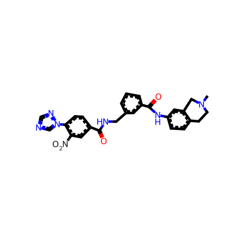 CN1CCc2ccc(NC(=O)c3cccc(CNC(=O)c4ccc(-n5cncn5)c([N+](=O)[O-])c4)c3)cc2C1